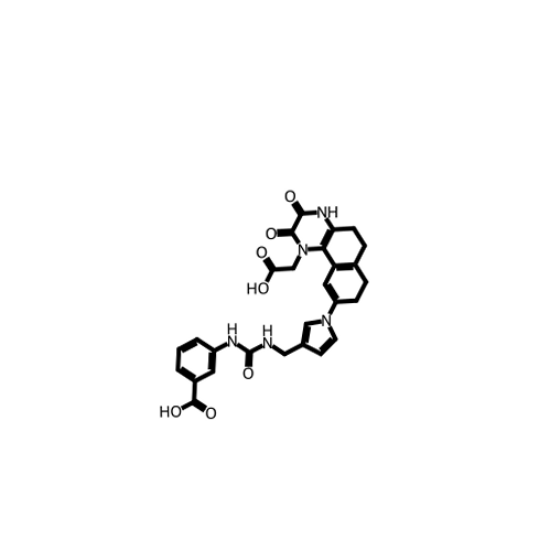 O=C(O)Cn1c2c([nH]c(=O)c1=O)CCC1=C2C=C(n2ccc(CNC(=O)Nc3cccc(C(=O)O)c3)c2)CC1